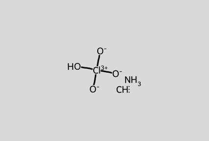 N.[CH].[O-][Cl+3]([O-])([O-])O